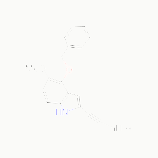 CCCCCCC#Cc1cc2c(OCc3ccccc3)c(OC)ccc2[nH]1